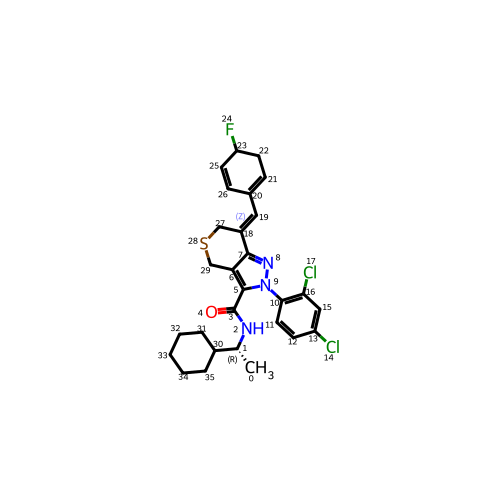 C[C@@H](NC(=O)c1c2c(nn1-c1ccc(Cl)cc1Cl)/C(=C/C1=CCC(F)C=C1)CSC2)C1CCCCC1